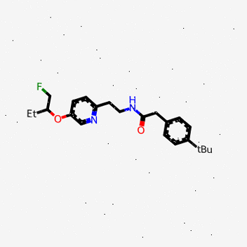 CCC(CF)Oc1ccc(CCNC(=O)Cc2ccc(C(C)(C)C)cc2)nc1